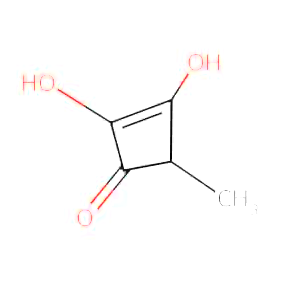 CC1C(=O)C(O)=C1O